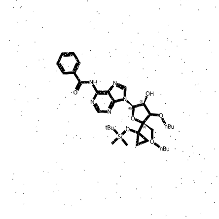 CCCCOC[C@@]1(C2(O[Si](C)(C)C(C)(C)C)CC2)O[C@@H](n2cnc3c(NC(=O)c4ccccc4)ncnc32)[C@@H](O)C1OCCCC